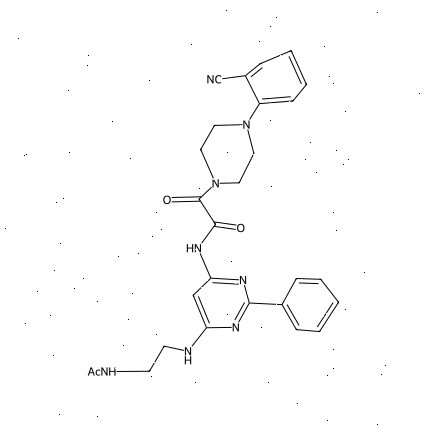 CC(=O)NCCNc1cc(NC(=O)C(=O)N2CCN(c3ccccc3C#N)CC2)nc(-c2ccccc2)n1